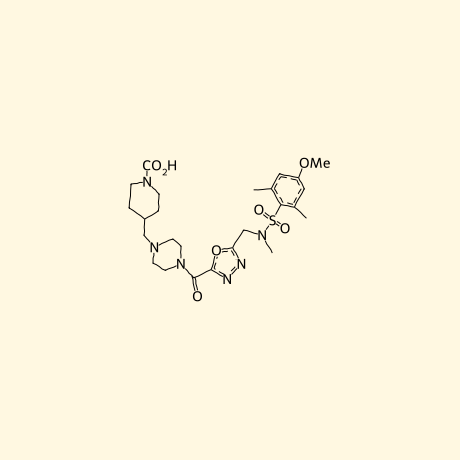 COc1cc(C)c(S(=O)(=O)N(C)Cc2nnc(C(=O)N3CCN(CC4CCN(C(=O)O)CC4)CC3)o2)c(C)c1